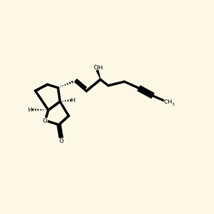 CC#CCC[C@H](O)C=C[C@H]1CC[C@@H]2OC(=O)C[C@@H]21